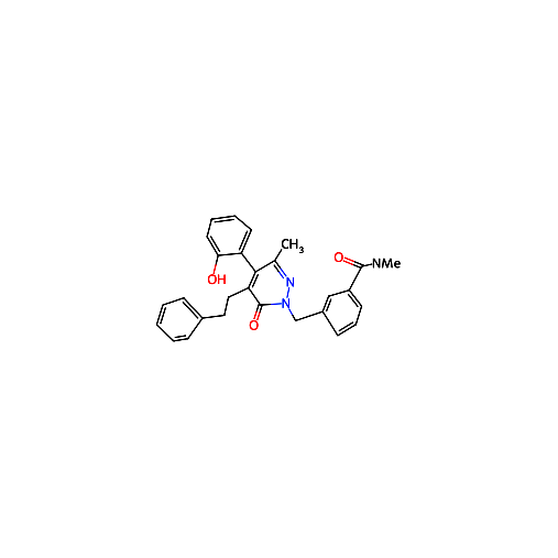 CNC(=O)c1cccc(Cn2nc(C)c(-c3ccccc3O)c(CCc3ccccc3)c2=O)c1